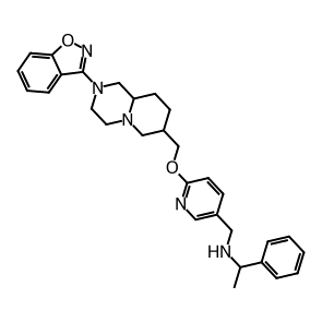 CC(NCc1ccc(OCC2CCC3CN(c4noc5ccccc45)CCN3C2)nc1)c1ccccc1